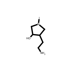 NCCC1CN(I)CC1O